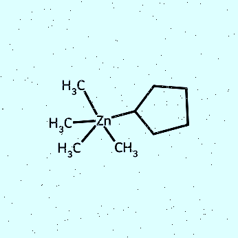 [CH3][Zn]([CH3])([CH3])([CH3])[CH]1CCCC1